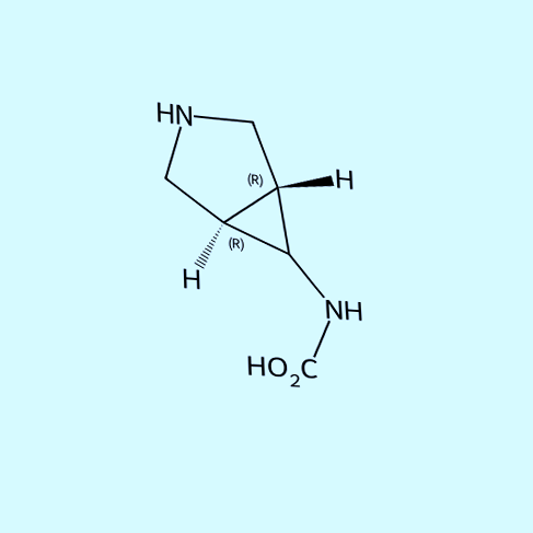 O=C(O)NC1[C@H]2CNC[C@H]12